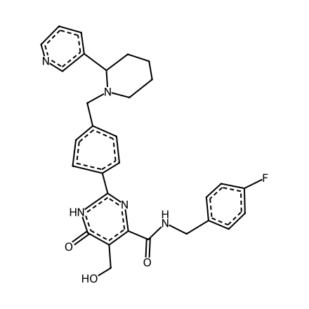 O=C(NCc1ccc(F)cc1)c1nc(-c2ccc(CN3CCCCC3c3cccnc3)cc2)[nH]c(=O)c1CO